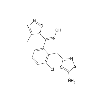 Cc1nnnn1C(=NO)c1cccc(Cl)c1Cc1nsc(N)n1